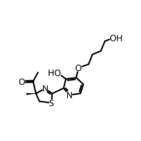 CC(=O)[C@@]1(C)CSC(c2nccc(OCCCCO)c2O)=N1